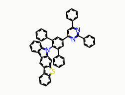 c1ccc(-c2cc(-c3cc(-c4ccccc4)c(-n4c5ccccc5c5cc6c(cc54)sc4ccccc46)c(-c4ccccc4)c3)nc(-c3ccccc3)n2)cc1